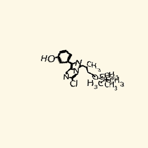 C[C@@H](CCO[Si](C)(C)C(C)(C)C)c1nc(-c2cccc(O)c2)c2cnc(Cl)cn12